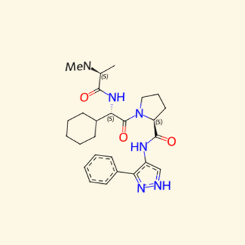 CN[C@@H](C)C(=O)N[C@H](C(=O)N1CCC[C@H]1C(=O)Nc1c[nH]nc1-c1ccccc1)C1CCCCC1